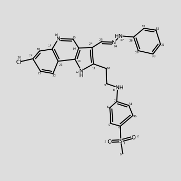 CS(=O)(=O)c1ccc(NCCc2[nH]c3c(cnc4cc(Cl)ccc43)c2/C=N/Nc2ccccc2)cc1